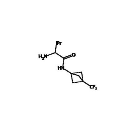 CC(C)C(N)C(=O)NC12CC(C(F)(F)F)(C1)C2